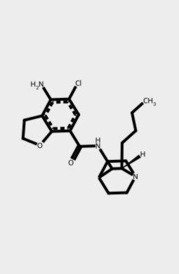 CCCC[C@H]1C(NC(=O)c2cc(Cl)c(N)c3c2OCC3)C2CCN1CC2